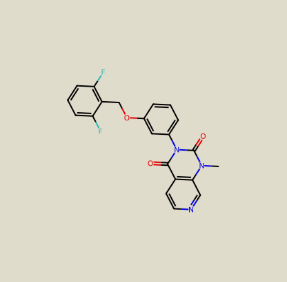 Cn1c(=O)n(-c2cccc(OCc3c(F)cccc3F)c2)c(=O)c2ccncc21